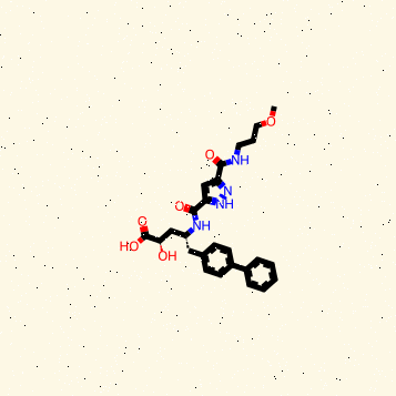 COCCCNC(=O)c1cc(C(=O)N[C@H](Cc2ccc(-c3ccccc3)cc2)C[C@H](O)C(=O)O)[nH]n1